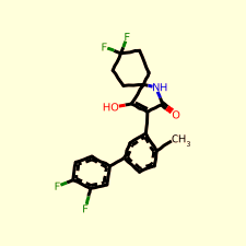 Cc1ccc(-c2ccc(F)c(F)c2)cc1C1=C(O)C2(CCC(F)(F)CC2)NC1=O